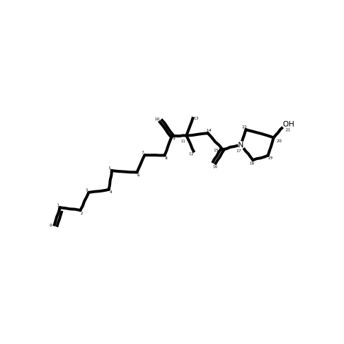 C=CCCCCCCCC(=C)C(C)(C)CC(=C)N1CCC(O)C1